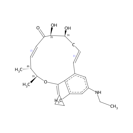 CCNc1cc(C)c2c(c1)/C=C/C[C@H](O)[C@H](O)C(=O)/C=C\[C@@H](C)[C@H](C)OC2=C1CC1